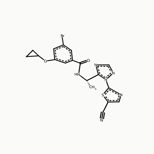 C[C@H](NC(=O)c1cc(Br)cc(OC2CC2)c1)c1ncnn1-c1ncc(C#N)s1